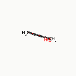 C=C(CCCCCCCCCCCCCCCCCCCCCCCCCCCCCCCCCCCC)C(=O)O